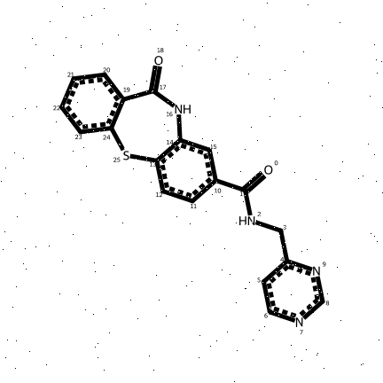 O=C(NCc1ccncn1)c1ccc2c(c1)NC(=O)c1ccccc1S2